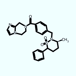 C[C@H]1CCC(c2ccccc2)S(=O)(=O)N1Cc1ccc(C(=O)N2CCn3ccnc3C2)cc1